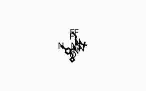 CC(C)(C)c1cn(CCC(F)(F)F)c(=NC(=NC#N)c2cc(C#N)ccc2OC2CCC2)s1